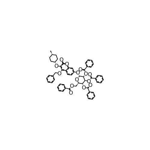 C[C@H]1CC[C@H](Oc2c(OCc3ccccc3)c3ccc(O[C@H]4O[C@H](COC(=O)c5ccccc5)[C@@H](OC(=O)c5ccccc5)[C@H](OC(=O)c5ccccc5)[C@@H]4OC(=O)c4ccccc4)cc3oc2=O)CC1